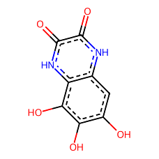 O=c1[nH]c2cc(O)c(O)c(O)c2[nH]c1=O